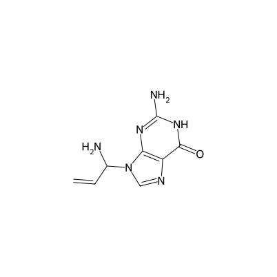 C=CC(N)n1cnc2c(=O)[nH]c(N)nc21